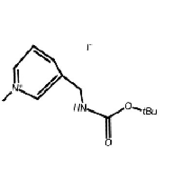 C[n+]1cccc(CNC(=O)OC(C)(C)C)c1.[I-]